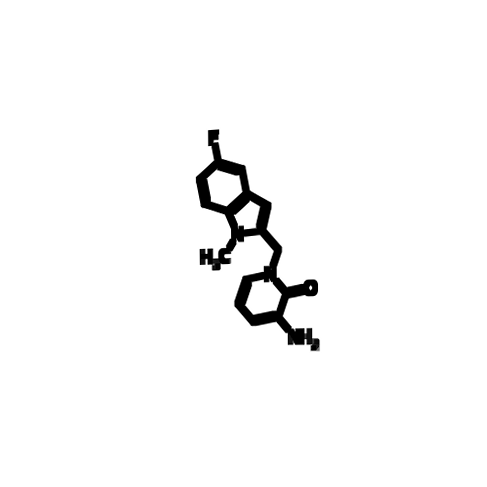 Cn1c(Cn2cccc(N)c2=O)cc2cc(F)ccc21